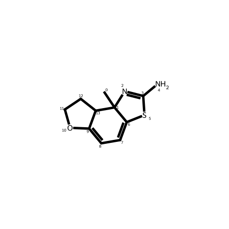 CC12N=C(N)SC1=CC=C1OCCC12